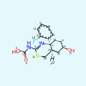 O=C(O)NC1=N[C@@]2(c3ccccc3F)CC[C@@H](O)C[C@H]2CS1